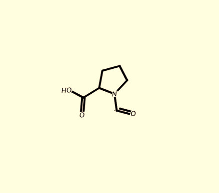 O=[C]N1CCCC1C(=O)O